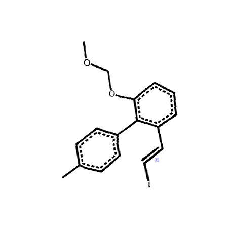 COCOc1cccc(/C=C/I)c1-c1ccc(C)cc1